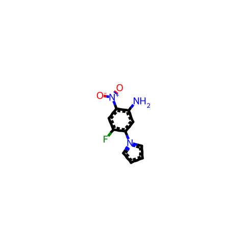 Nc1cc(-n2cccc2)c(F)cc1[N+](=O)[O-]